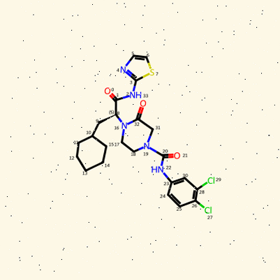 O=C(Nc1nccs1)[C@H](CC1CCCCC1)N1CCN(C(=O)Nc2ccc(Cl)c(Cl)c2)CC1=O